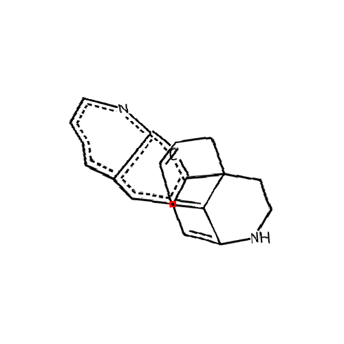 C1=CCC23CCNC(=Cc4cc5cccnc5cc42)C3=C1